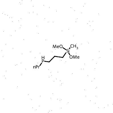 CCCPCCC[Si](C)(OC)OC